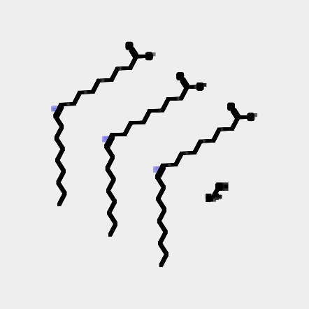 CCCCCCCC/C=C\CCCCCCCC(=O)[O-].CCCCCCCC/C=C\CCCCCCCC(=O)[O-].CCCCCCCC/C=C\CCCCCCCC(=O)[O-].[OH][Sn+3]